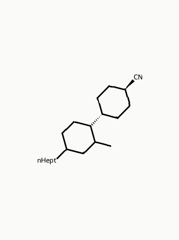 CCCCCCCC1CCC([C@H]2CC[C@H](C#N)CC2)C(C)C1